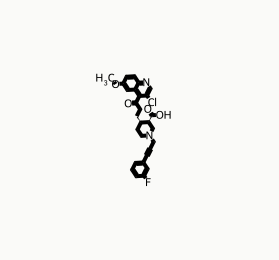 COc1ccc2ncc(Cl)c(C(=O)CC[C@H]3CCN(CC#Cc4cccc(F)c4)C[C@H]3C(=O)O)c2c1